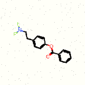 O=C(Oc1ccc(CCN(F)F)cc1)c1ccccc1